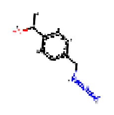 CC(O)c1ccc(CN=[N+]=[N-])cc1